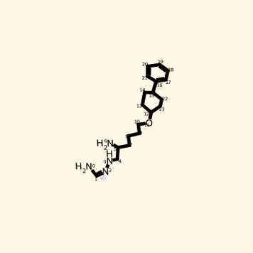 N/C=N\NCC(N)CCCCOC1CCC(c2ccccc2)CC1